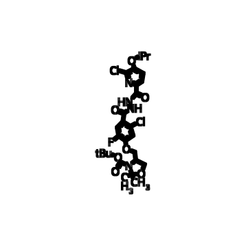 CC(C)Oc1ccc(C(=O)NNC(=O)c2cc(F)c(OCC3COC(C)(C)N3C(=O)OC(C)(C)C)cc2Cl)nc1Cl